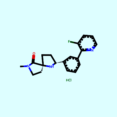 CN1CC[C@@]2(CC[C@H](c3cccc(-c4ncccc4F)c3)N2)C1=O.Cl